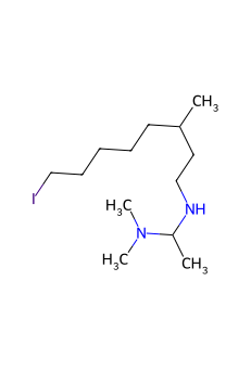 CC(CCCCCI)CCNC(C)N(C)C